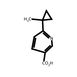 CC1(c2ccc(C(=O)O)cn2)CC1